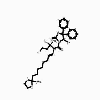 CCCCCCCC1(CCCCCCC=C[C@H](C(=O)N2C(=S)OC(c3ccccc3)(c3ccccc3)C2C(C)C)[C@@](O)(CCF)C(=O)O)OCCO1